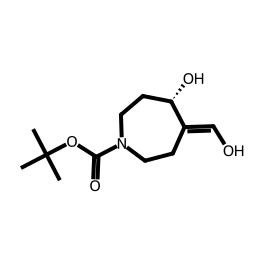 CC(C)(C)OC(=O)N1CC/C(=C\O)[C@@H](O)CC1